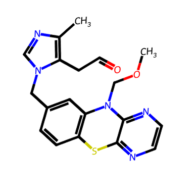 COCN1c2cc(Cn3cnc(C)c3CC=O)ccc2Sc2nccnc21